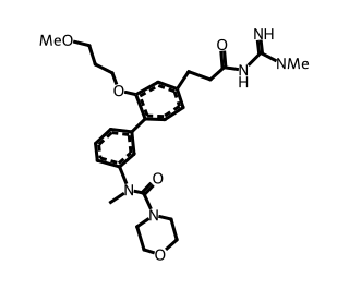 CNC(=N)NC(=O)CCc1ccc(-c2cccc(N(C)C(=O)N3CCOCC3)c2)c(OCCCOC)c1